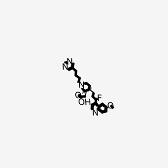 COc1ccc2nccc(C(F)CC[C@@H]3CCN(CCCCc4cncnc4)C[C@@H]3CC(=O)O)c2c1